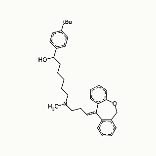 CN(CCC=C1c2ccccc2COc2ccccc21)CCCCCC(O)c1ccc(C(C)(C)C)cc1